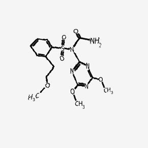 COCCc1ccccc1S(=O)(=O)N(C(N)=O)c1nc(OC)nc(OC)n1